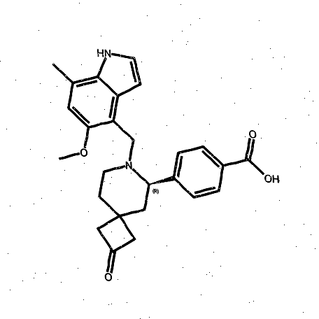 COc1cc(C)c2[nH]ccc2c1CN1CCC2(CC(=O)C2)C[C@@H]1c1ccc(C(=O)O)cc1